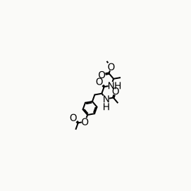 COC(=O)C(C)NC(=O)C(Cc1ccc(OC(C)=O)cc1)NC(C)=O